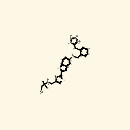 CC(=O)CC(C)(C)NCc1csc(-c2cc3cc(OCc4ccccc4Cc4nnn[nH]4)ccc3o2)n1